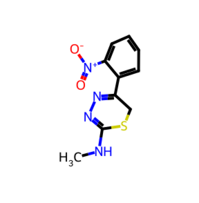 CNC1=NN=C(c2ccccc2[N+](=O)[O-])CS1